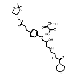 CC1(C)OC[C@@H](COC(=O)CCc2ccc(OCC(O)CNCCNC(=O)N3CCOCC3)cc2)O1.Cl.O=C(O)C(=O)O